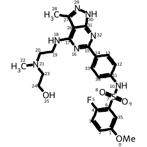 COc1ccc(F)c(S(=O)(=O)Nc2ccc(-c3nc(NCCN(C)CCO)c4c(C)n[nH]c4n3)cc2)c1